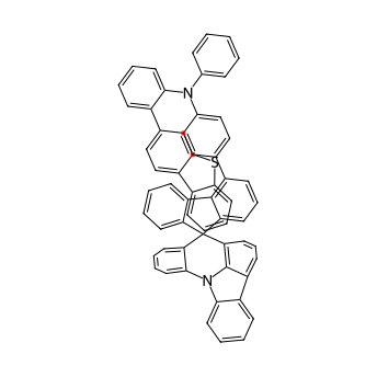 c1ccc(N(c2ccc(-c3cccc4c3-c3ccccc3C43c4ccccc4-n4c5ccccc5c5cccc3c54)cc2)c2ccccc2-c2ccc3c(c2)sc2ccccc23)cc1